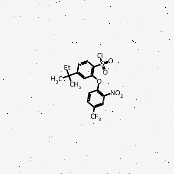 CCC(C)(C)c1ccc(S(=O)(=O)Cl)c(Oc2ccc(C(F)(F)F)cc2[N+](=O)[O-])c1